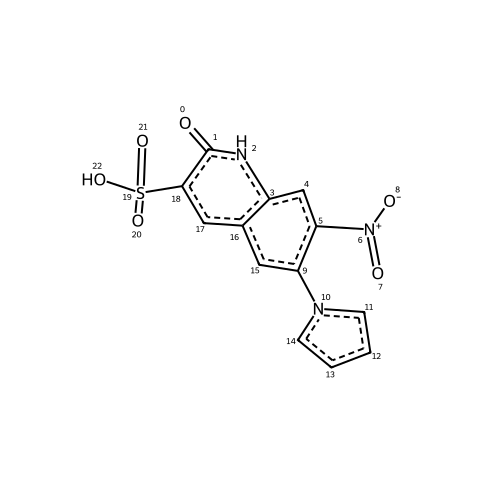 O=c1[nH]c2cc([N+](=O)[O-])c(-n3cccc3)cc2cc1S(=O)(=O)O